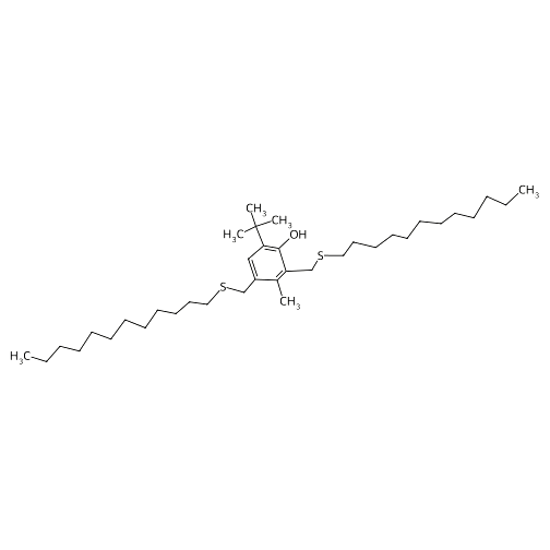 CCCCCCCCCCCCSCc1cc(C(C)(C)C)c(O)c(CSCCCCCCCCCCCC)c1C